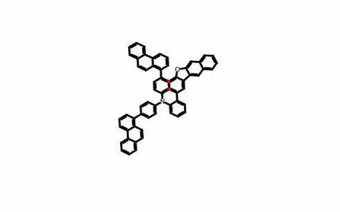 c1ccc(N(c2ccc(-c3cccc4c3ccc3ccccc34)cc2)c2ccc(-c3cccc4c3ccc3ccccc34)cc2)c(-c2ccc3oc4cc5ccccc5cc4c3c2)c1